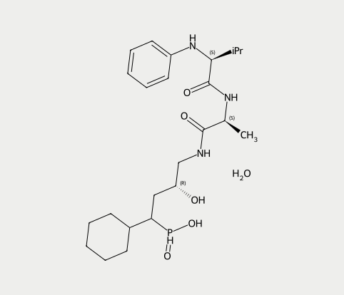 CC(C)[C@H](Nc1ccccc1)C(=O)N[C@@H](C)C(=O)NC[C@H](O)CC(C1CCCCC1)[PH](=O)O.O